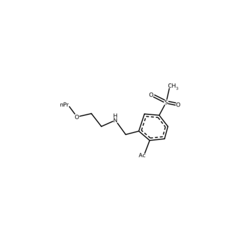 CCCOCCNCc1cc(S(C)(=O)=O)ccc1C(C)=O